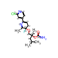 CC1=NC(c2ccnc(Cl)c2)=CCC1(F)OCC(C)(CC(C)C)OC(N)=O